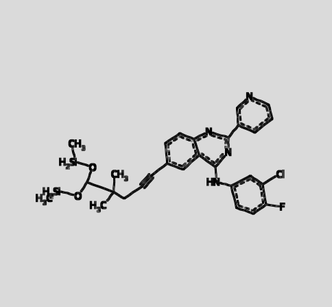 C[SiH2]OC(O[SiH2]C)C(C)(C)CC#Cc1ccc2nc(-c3cccnc3)nc(Nc3ccc(F)c(Cl)c3)c2c1